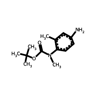 Cc1cc(N)ccc1N(C)C(=O)OC(C)(C)C